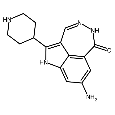 Nc1cc2c3c(c(C4CCNCC4)[nH]c3c1)C=NNC2=O